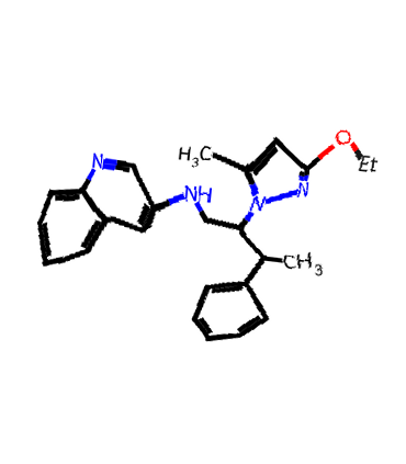 CCOc1cc(C)n(C(CNc2cnc3ccccc3c2)C(C)c2ccccc2)n1